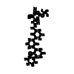 CC(C)(C)OC(=O)NC(CSCc1cccc(-c2cccc(-c3cccc4c3oc3ccccc34)c2)c1)C(=O)O